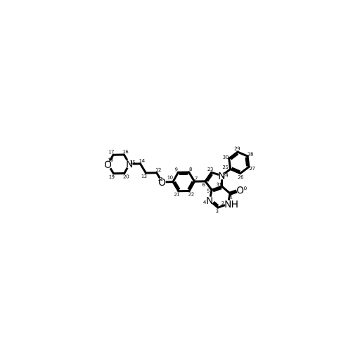 O=c1[nH]cnc2c(-c3ccc(OCCCN4CCOCC4)cc3)cn(-c3ccccc3)c12